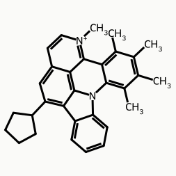 Cc1c(C)c(C)c2c(c1C)c1c3c(cc[n+]1C)cc(C1CCCC1)c1c4ccccc4n2c13